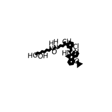 CC(CCCNC(=O)NCCCCC(O)CO)c1ccc(Cl)c(CNC2(c3cnccc3-c3ccccc3OC3CC3)CC2)c1